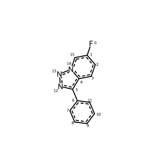 Fc1ccc2c(-c3ccccc3)nnn2c1